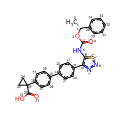 C[C@@H](OC(=O)Nc1snnc1-c1ccc(-c2ccc(C3(C(=O)O)CC3)cc2)cc1)c1ccccc1